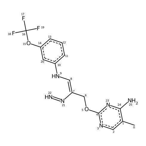 Cc1cnc(OC/C(=C/Nc2cccc(OC(F)(F)F)c2)N=N)nc1N